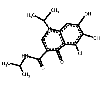 CC(C)NC(=O)c1cn(C(C)C)c2cc(O)c(O)c(Cl)c2c1=O